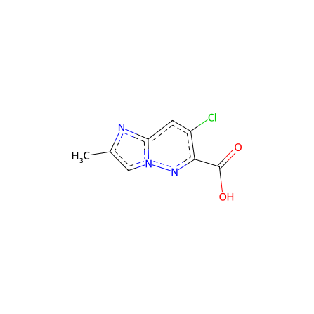 Cc1cn2nc(C(=O)O)c(Cl)cc2n1